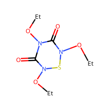 CCON1SN(OCC)C(=O)N(OCC)C1=O